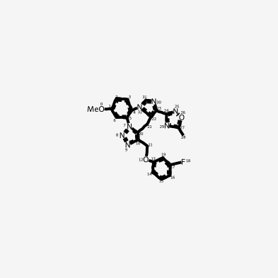 COc1ccc2c(c1)-n1nnc(COc3cccc(F)c3)c1Cc1c(-c3noc(C)n3)ncn1-2